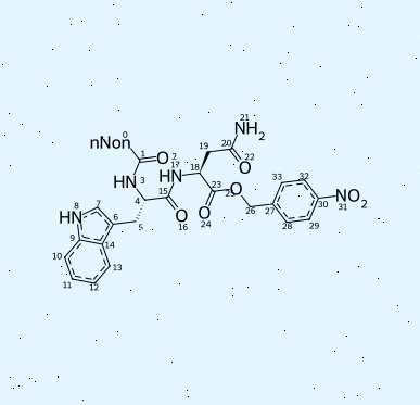 CCCCCCCCCC(=O)N[C@@H](Cc1c[nH]c2ccccc12)C(=O)N[C@@H](CC(N)=O)C(=O)OCc1ccc([N+](=O)[O-])cc1